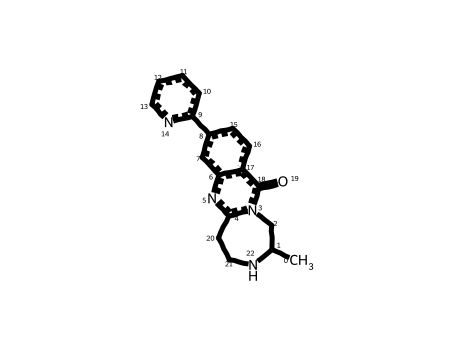 CC1Cn2c(nc3cc(-c4ccccn4)ccc3c2=O)CCN1